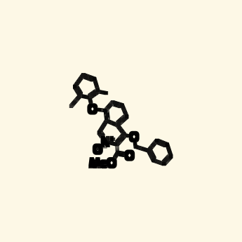 COC(=O)c1c(OCc2ccccc2)c2cccc(Oc3c(C)cccc3C)c2c[n+]1[O-]